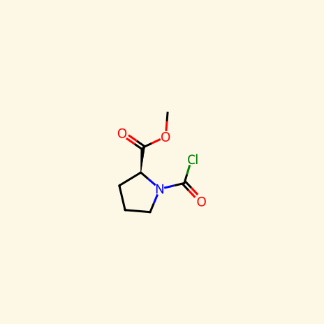 COC(=O)[C@@H]1CCCN1C(=O)Cl